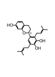 CC(C)=CCc1cc([C@@H]2CCc3ccc(O)cc3O2)c(CC=C(C)C)c(O)c1O